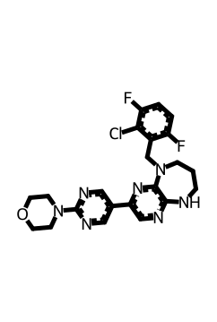 Fc1ccc(F)c(CN2CCCNc3ncc(-c4cnc(N5CCOCC5)nc4)nc32)c1Cl